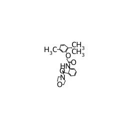 Cc1ccc(C(C)C)c(OCC(=O)Nc2ccccc2C(=O)N2CCOCC2)c1